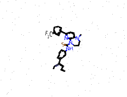 C=CC/C(=C\C)c1cccc(NC(=S)N2CCCN(C)c3ccc(-c4cccc(C(F)(F)F)c4)nc32)c1